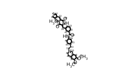 COc1cc2c(cc1OC)CN(CCc1ccc(NC(=O)c3cccc(/C=c4\[nH]c(=O)/c(=C/c5ccsc5)n(C)c4=O)c3)cc1)CC2